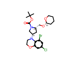 CC(C)(C)OC(=O)N1C[C@@H](N2CCOc3cc(Cl)cc(Br)c32)C[C@H]1CO[C@H]1CCCCO1